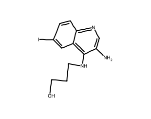 Nc1cnc2ccc(I)cc2c1NCCCO